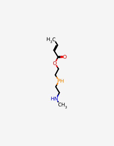 CC=CC(=O)OCCPCCNC